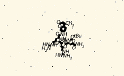 Cc1cc(=O)oc2cc(NC(=O)[C@H](CCCNC(=N)N)NC(=O)[C@H](CCCNC(=N)N)NC(=O)[C@H](CCC(N)=O)NC(=O)OC(C)(C)C)ccc12